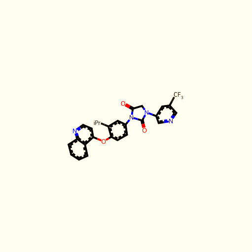 CC(C)c1cc(N2C(=O)CN(c3cncc(C(F)(F)F)c3)C2=O)ccc1Oc1ccnc2ccccc12